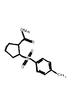 COC(=O)C1CCCC1S(=O)(=O)c1ccc(C)cc1